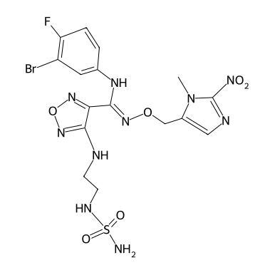 Cn1c(CO/N=C(\Nc2ccc(F)c(Br)c2)c2nonc2NCCNS(N)(=O)=O)cnc1[N+](=O)[O-]